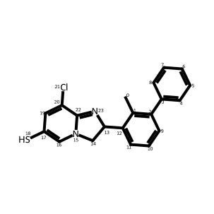 Cc1c(-c2ccccc2)cccc1C1CN2C=C(S)C=C(Cl)C2=N1